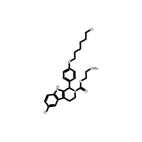 COCCOC(=O)N1CCc2c([nH]c3ccc(Cl)cc23)C1c1ccc(OCCCCCCCl)cc1